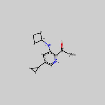 COC(=O)c1ncc(C2CC2)cc1NC1CCC1